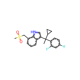 CC(c1ccc(F)cc1F)(c1c[nH]c2c(CS(C)(=O)=O)cccc12)C1CC1